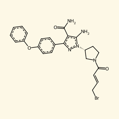 NC(=O)c1c(-c2ccc(Oc3ccccc3)cc2)nn([C@@H]2CCN(C(=O)/C=C/CBr)C2)c1N